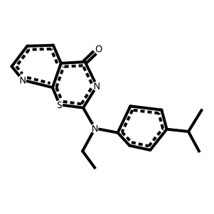 CCN(c1ccc(C(C)C)cc1)c1nc(=O)c2cccnc2s1